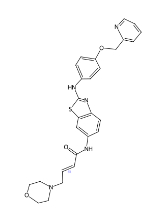 O=C(/C=C/CN1CCOCC1)Nc1ccc2nc(Nc3ccc(OCc4ccccn4)cc3)sc2c1